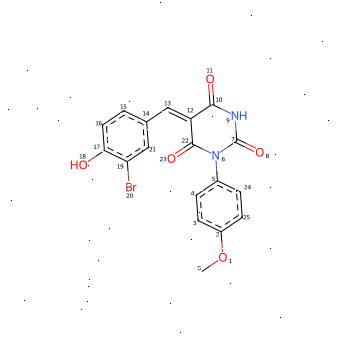 COc1ccc(N2C(=O)NC(=O)C(=Cc3ccc(O)c(Br)c3)C2=O)cc1